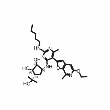 CCCCCNc1nc(C)c(-c2cc3cc(OCC)nc(C)c3o2)c(N[C@@H]2C[C@H](C(C)(C)O)[C@@H](O)[C@H]2O)n1